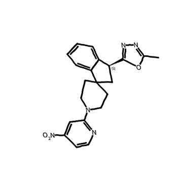 Cc1nnc([C@H]2CC3(CCN(c4cc([N+](=O)[O-])ccn4)CC3)c3ccccc32)o1